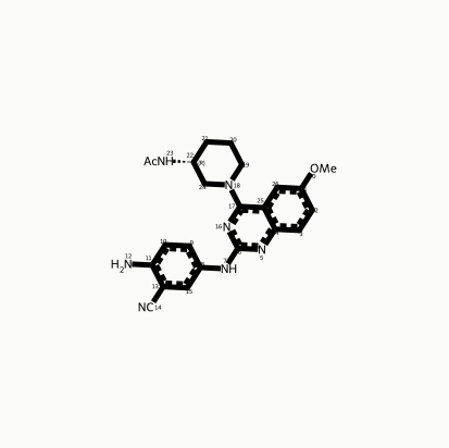 COc1ccc2nc(Nc3ccc(N)c(C#N)c3)nc(N3CCC[C@@H](NC(C)=O)C3)c2c1